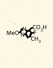 COc1cnc2c(CC(=O)O)c(F)c(C)cc2n1